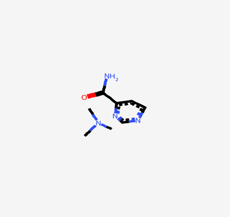 CN(C)C.NC(=O)c1ccncn1